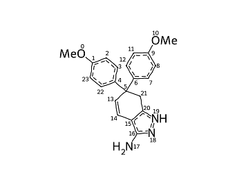 COc1ccc(C2(c3ccc(OC)cc3)C=Cc3c(N)n[nH]c3C2)cc1